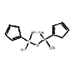 CCC[Si](CCC)(O[Si](CCC)(CCC)C1=CC=CC1)C1=CC=CC1